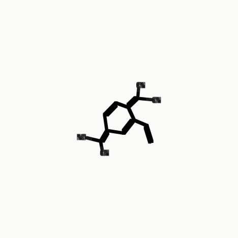 C=Cc1cc(=C(C#N)C#N)ccc1=C(C#N)C#N